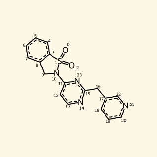 O=S1(=O)c2ccccc2CN1c1ccnc(Cc2cccnc2)n1